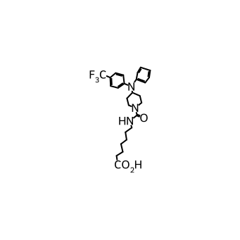 O=C(O)CCCCCCNC(=O)N1CCC(N(c2ccccc2)c2ccc(C(F)(F)F)cc2)CC1